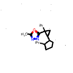 Cc1nnc(C2(C(C)C)CC2C2CCCC2C(C)C)o1